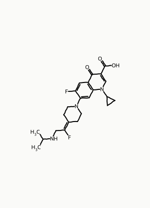 CC(C)NCC(F)=C1CCN(c2cc3c(cc2F)c(=O)c(C(=O)O)cn3C2CC2)CC1